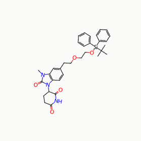 Cn1c(=O)n(C2CCC(=O)NC2=O)c2ccc(CCOCCO[Si](c3ccccc3)(c3ccccc3)C(C)(C)C)cc21